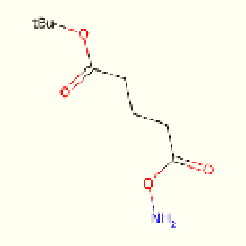 CC(C)(C)OC(=O)CCCC(=O)ON